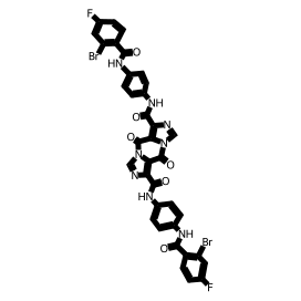 O=C(Nc1ccc(NC(=O)c2ncn3c(=O)c4c(C(=O)Nc5ccc(NC(=O)c6ccc(F)cc6Br)cc5)ncn4c(=O)c23)cc1)c1ccc(F)cc1Br